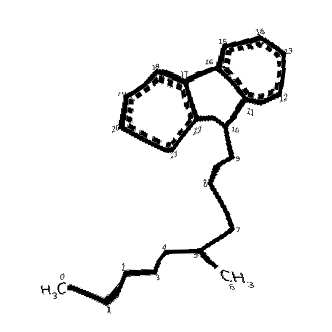 CCCCCC(C)CCCC1c2ccccc2-c2ccccc21